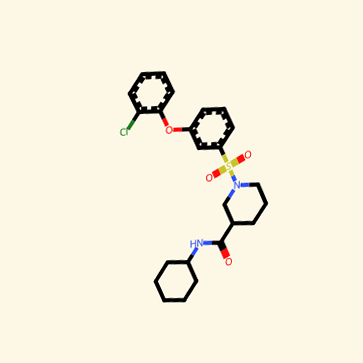 O=C(NC1CCCCC1)C1CCCN(S(=O)(=O)c2cccc(Oc3ccccc3Cl)c2)C1